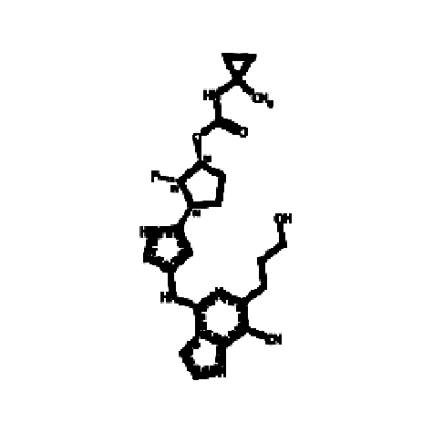 CC1(NC(=O)O[C@H]2CC[C@@H](c3cc(Nc4nc(CCCO)c(C#N)c5nccn45)n[nH]3)[C@@H]2F)CC1